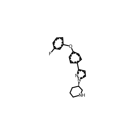 Fc1cccc(Oc2ccc(-c3ccn([C@@H]4CCCNC4)n3)cc2)c1